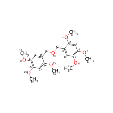 COc1cc(OC)c(OC)cc1COCc1cc(OC)c(OC)cc1OC